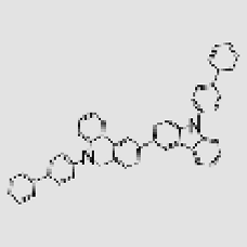 c1ccc(-c2ccc(N3Cc4ccc(-c5ccc6c(c5)c5ccccc5n6-c5ccc(-c6ccccc6)cc5)cc4-c4ccccc43)cc2)cc1